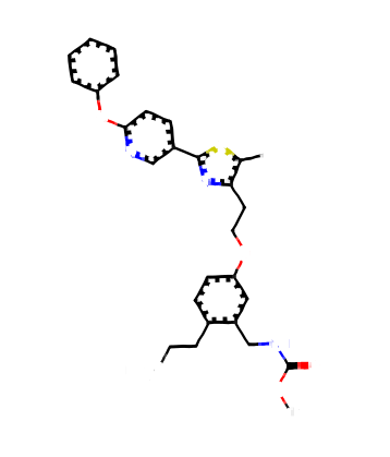 Cc1sc(-c2ccc(Oc3ccccc3)nc2)nc1CCOc1ccc(CCC(=O)O)c(CNC(=O)OC(C)C)c1